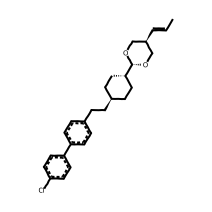 CC=C[C@H]1CO[C@H]([C@H]2CC[C@H](CCc3ccc(-c4ccc(Cl)cc4)cc3)CC2)OC1